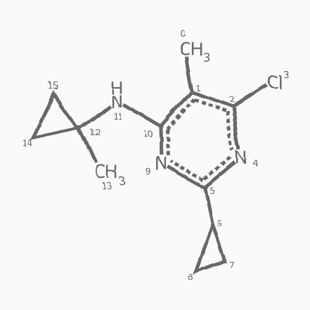 Cc1c(Cl)nc(C2CC2)nc1NC1(C)CC1